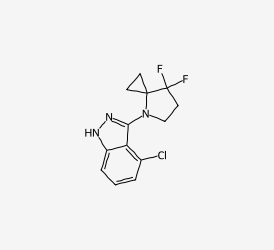 FC1(F)CCN(c2n[nH]c3cccc(Cl)c23)C12CC2